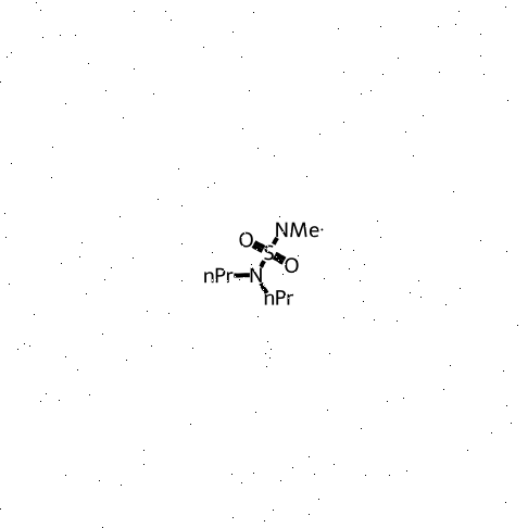 CCCN(CCC)S(=O)(=O)[N]C